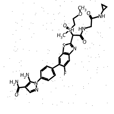 COCC[SH](C)(=O)C(C(=O)NCC(=O)NC1CC1)c1nc2cc(F)c(-c3ccc(-n4ncc(C(N)=O)c4N)cc3)cc2s1